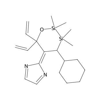 C=CC1(C=C)O[Si](C)(C)[Si](C)(C)C(C2CCCCC2)C1=C1N=CC=N1